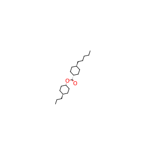 CCCCC[C@H]1CC[C@H](C(=O)O[C@H]2CC[C@H](CCC)CC2)CC1